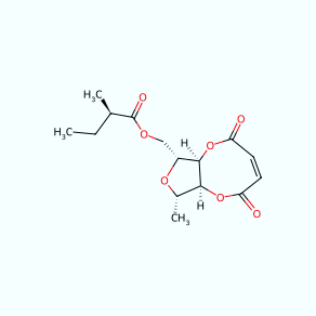 CC[C@@H](C)C(=O)OC[C@H]1O[C@@H](C)[C@@H]2OC(=O)/C=C\C(=O)O[C@@H]21